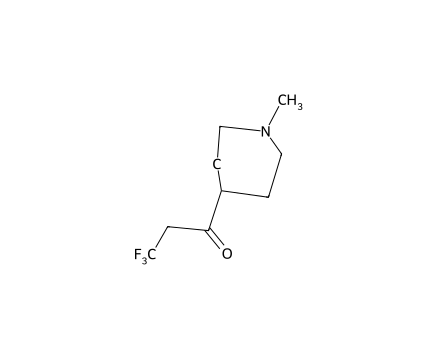 CN1CCC(C(=O)CC(F)(F)F)CC1